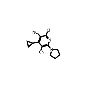 N#Cc1c(Cl)nc(N2CCCC2)c(C#N)c1C1CC1